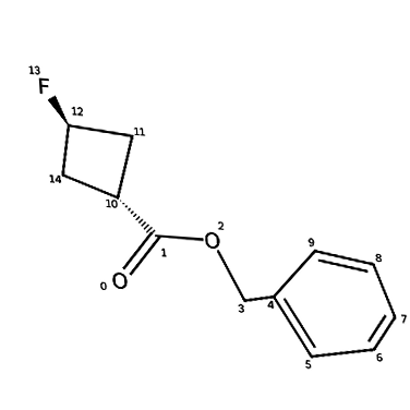 O=C(OCc1ccccc1)[C@H]1C[C@H](F)C1